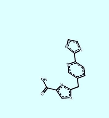 O=C(O)c1coc(Cc2ccc(-c3nccs3)nc2)n1